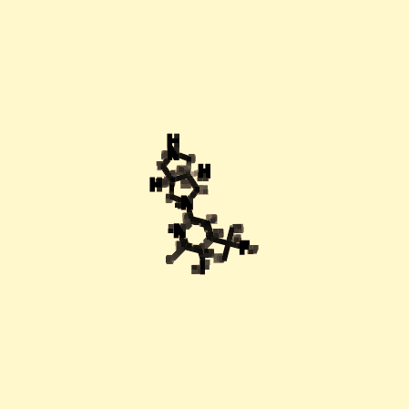 Cc1nc(N2C[C@H]3CNC[C@H]3C2)cc(C(C)(C)F)c1F